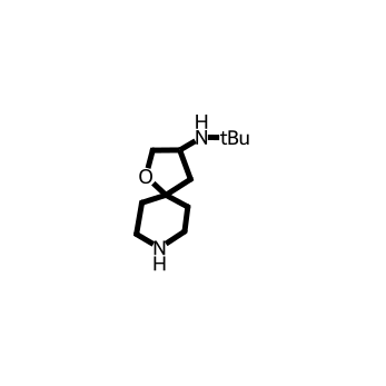 CC(C)(C)NC1COC2(CCNCC2)C1